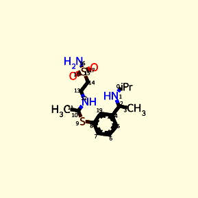 CC(C)NC(C)c1cccc(SC(C)NCCS(N)(=O)=O)c1